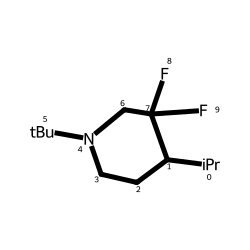 CC(C)C1CCN(C(C)(C)C)CC1(F)F